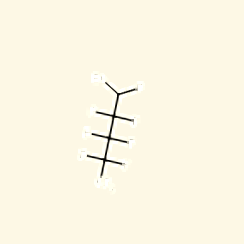 CCC(F)C(F)(F)C(F)(F)C(F)(F)C(F)(F)F